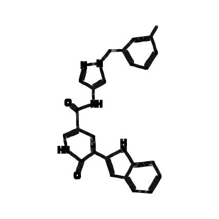 Cc1cccc(Cn2cc(NC(=O)c3c[nH]c(=O)c(-c4cc5ccccc5[nH]4)c3)cn2)c1